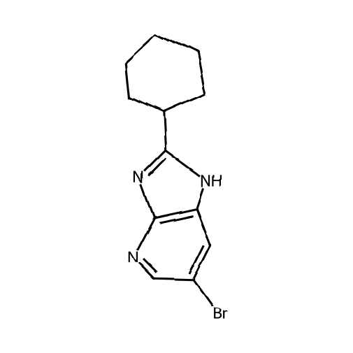 Brc1cnc2nc(C3CCCCC3)[nH]c2c1